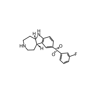 O=S(=O)(c1cccc(F)c1)c1ccc2c(c1)[C@@H]1CCNCC[C@@H]1N2